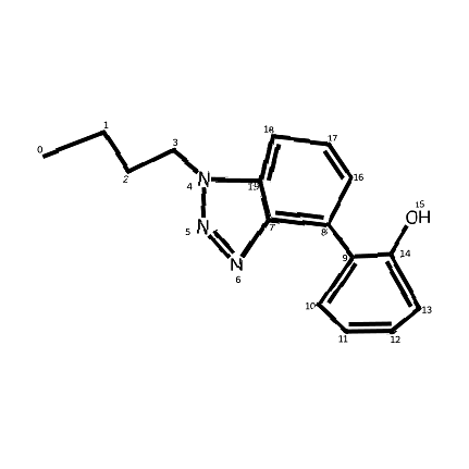 CCCCn1nnc2c(-c3ccccc3O)cccc21